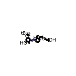 CC1/C(=C/C=C2\CCC[C@@]3(C)[C@@H]2CC[C@@H]3[C@H](C)OCCC(C)(C)O)CC(O[Si](C)(C)C(C)(C)C)C[C@@H]1O